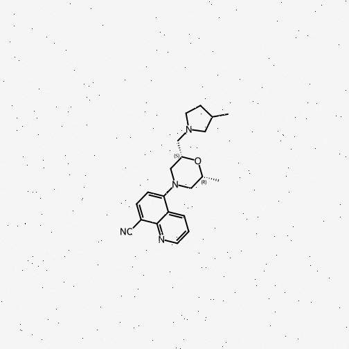 CC1CCN(C[C@H]2CN(c3ccc(C#N)c4ncccc34)C[C@@H](C)O2)C1